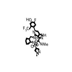 CNC(=O)c1n[nH]c2cc(-c3cc(F)c(O)cc3CC(F)(F)F)nc(NCc3ccccc3NS(=O)(=O)c3cnn(C)c3)c12